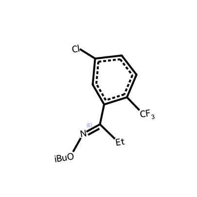 CC/C(=N\OCC(C)C)c1cc(Cl)ccc1C(F)(F)F